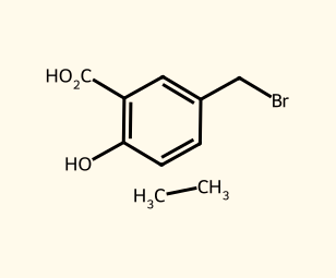 CC.O=C(O)c1cc(CBr)ccc1O